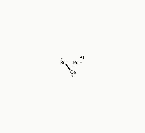 [Pd].[Pt].[Ru][Ce]